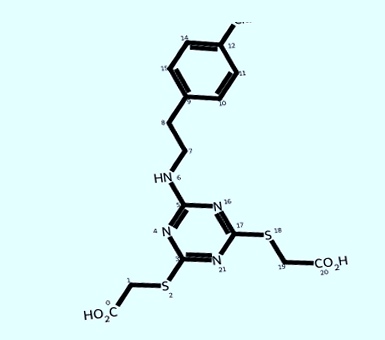 O=C(O)CSc1nc(NCCc2ccc(Cl)cc2)nc(SCC(=O)O)n1